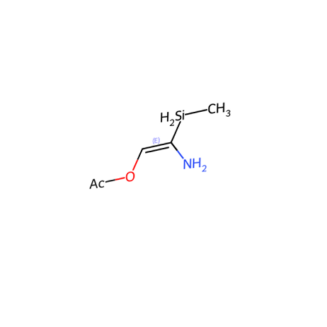 C[SiH2]/C(N)=C/OC(C)=O